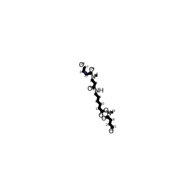 CN(CCC(=O)NCCCCCC(=O)ON(C)C(=O)CCC=O)C(=O)/C=C\C=O